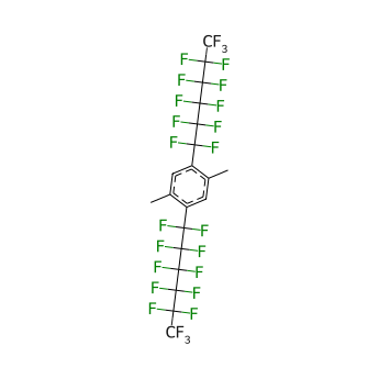 Cc1cc(C(F)(F)C(F)(F)C(F)(F)C(F)(F)C(F)(F)C(F)(F)F)c(C)cc1C(F)(F)C(F)(F)C(F)(F)C(F)(F)C(F)(F)C(F)(F)F